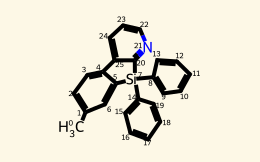 Cc1ccc2c(c1)[Si](c1ccccc1)(c1ccccc1)c1ncccc1-2